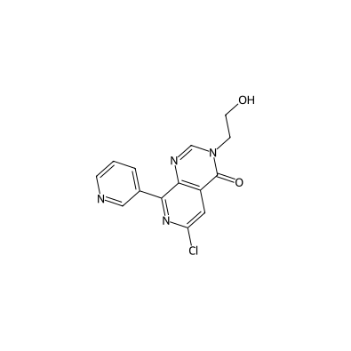 O=c1c2cc(Cl)nc(-c3cccnc3)c2ncn1CCO